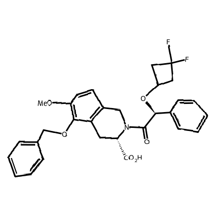 COc1ccc2c(c1OCc1ccccc1)C[C@@H](C(=O)O)N(C(=O)[C@@H](OC1CC(F)(F)C1)c1ccccc1)C2